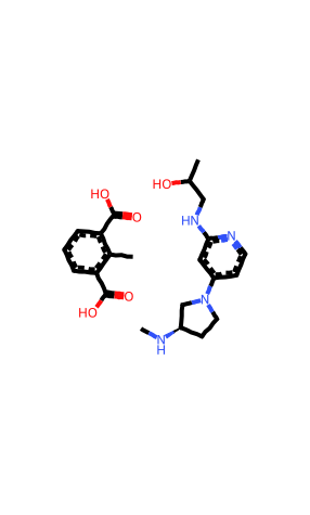 CN[C@@H]1CCN(c2ccnc(NCC(C)O)c2)C1.Cc1c(C(=O)O)cccc1C(=O)O